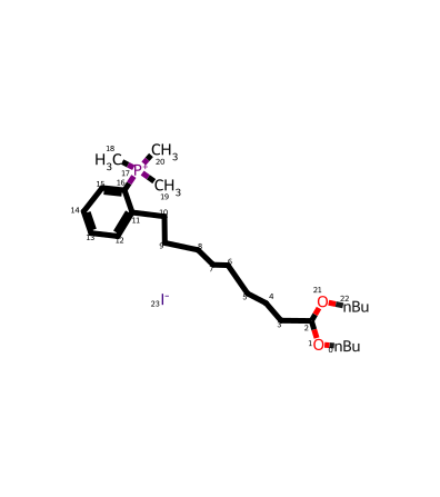 CCCCOC(CCCCCCCCc1ccccc1[P+](C)(C)C)OCCCC.[I-]